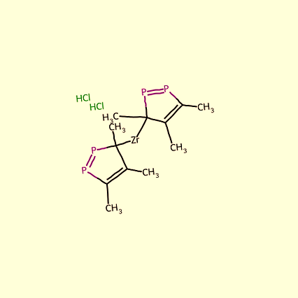 CC1=C(C)[C](C)([Zr][C]2(C)P=PC(C)=C2C)P=P1.Cl.Cl